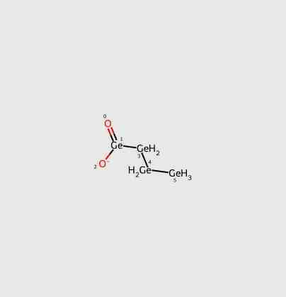 [O]=[Ge]([O-])[GeH2][GeH2][GeH3]